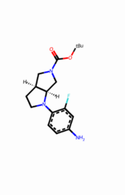 CC(C)(C)OC(=O)N1C[C@@H]2CCN(c3ccc(N)cc3F)[C@@H]2C1